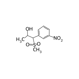 CC(O)C(c1cccc([N+](=O)[O-])c1)S(C)(=O)=O